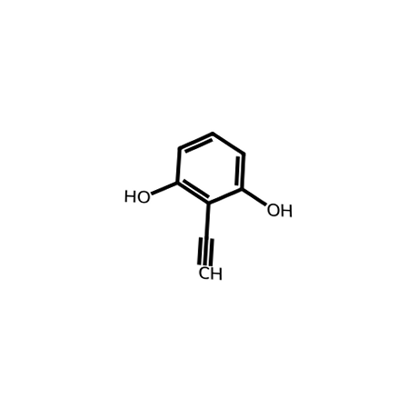 C#Cc1c(O)cccc1O